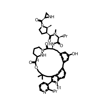 CCn1c(-c2cccnc2C(C)C)c2c3cc(ccc31)-c1cc(O)cc(c1)C[C@H](NC(=O)[C@H](C(C)C)N(C)C(=O)[C@H]1CCN(C(=O)[C@H]3CN3)[C@H]1C)C(=O)N1CCC[C@H](N1)C(=O)OCC(C)(C)C2